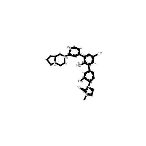 Cn1ccn(-c2ccc(-c3cc(F)cc(-c4ccnc(N5CCN6CCCC6C5)c4)c3O)cc2Cl)c1=O